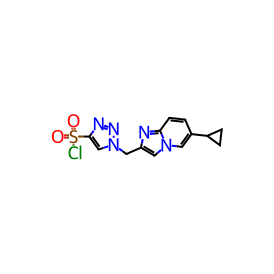 O=S(=O)(Cl)c1cn(Cc2cn3cc(C4CC4)ccc3n2)nn1